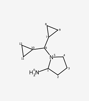 NC1CCCN1C(C1CC1)C1CC1